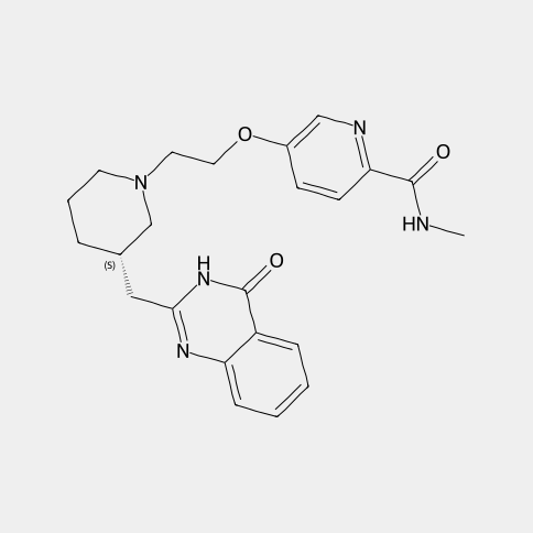 CNC(=O)c1ccc(OCCN2CCC[C@@H](Cc3nc4ccccc4c(=O)[nH]3)C2)cn1